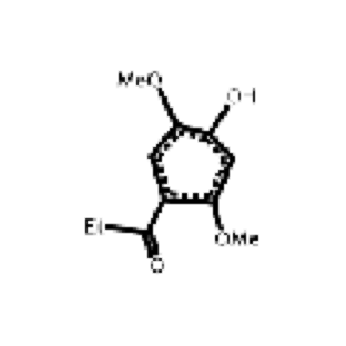 CCC(=O)c1cc(OC)c(O)cc1OC